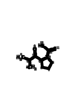 CC(C)C(=O)C1CCCN1C(=S)S